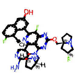 C#Cc1c(F)ccc2cc(O)cc(-c3nc(-c4ccc(N)nc4)c4c(N5C[C@H]6CC[C@@H](C5)N6)nc(OC[C@@]56CCCN5C[C@H](F)C6)nc4c3F)c12